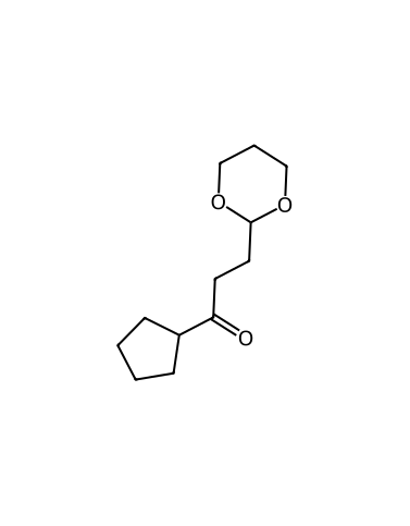 O=C(CCC1OCCCO1)C1CCCC1